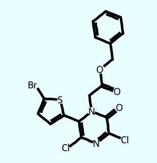 O=C(Cn1c(-c2ccc(Br)s2)c(Cl)nc(Cl)c1=O)OCc1ccccc1